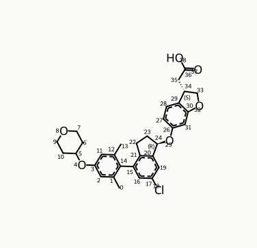 Cc1cc(OC2CCOCC2)cc(C)c1-c1cc(Cl)cc2c1CC[C@H]2Oc1ccc2c(c1)OC[C@H]2CC(=O)O